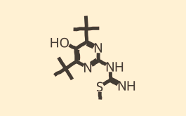 CSC(=N)Nc1nc(C(C)(C)C)c(O)c(C(C)(C)C)n1